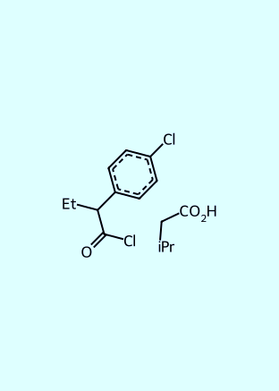 CC(C)CC(=O)O.CCC(C(=O)Cl)c1ccc(Cl)cc1